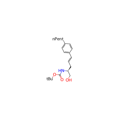 CCCCCc1ccc(/C=C/C[C@@H](CO)NC(=O)OC(C)(C)C)cc1